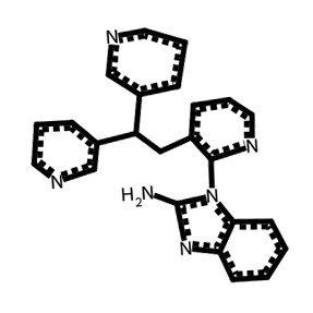 Nc1nc2ccccc2n1-c1ncccc1CC(c1cccnc1)c1cccnc1